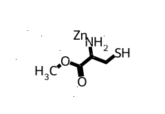 COC(=O)C(N)CS.[Zn]